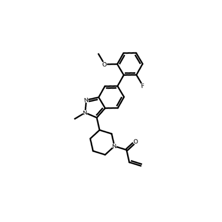 C=CC(=O)N1CCCC(c2c3ccc(-c4c(F)cccc4OC)cc3nn2C)C1